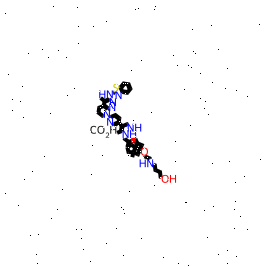 C/C(NCC1CC2(C)CC3(OCCNCCCCO)CC4(C)CC1CC243)=C(/C=N)c1ccc(N2CCCc3c2nnc(Nc2nc4ccccc4s2)c3C)nc1C(=O)O